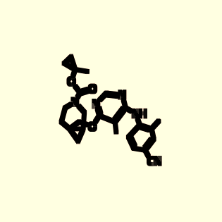 Cc1cc(C#N)ccc1Nc1ncnc(OCC23CCN(C(=O)OC4(C)CC4)CC2C3)c1C